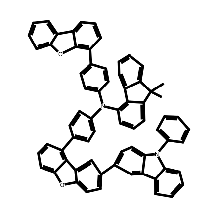 CC1(C)c2ccccc2-c2c(N(c3ccc(-c4cccc5c4oc4ccccc45)cc3)c3ccc(-c4cccc5oc6ccc(-c7ccc8c(c7)c7ccccc7n8-c7ccccc7)cc6c45)cc3)cccc21